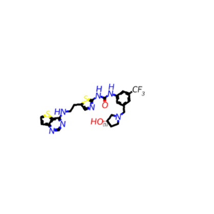 O=C(Nc1cc(CN2CC[C@H](O)C2)cc(C(F)(F)F)c1)Nc1ncc(CCNc2ncnc3ccsc23)s1